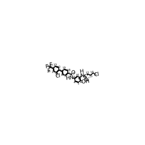 O=C(Nc1ccc(O)c(N[S+]([O-])CCCCl)c1)c1ccc(-c2ccc(C(F)(F)F)cc2Cl)cc1